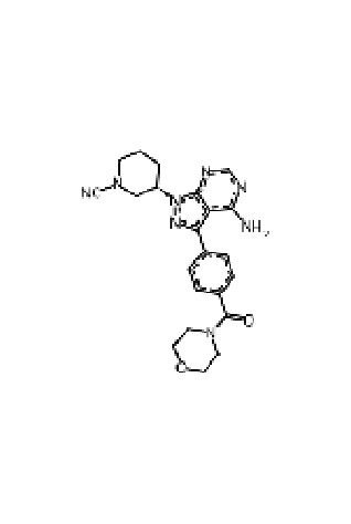 N#CN1CCC[C@@H](n2nc(-c3ccc(C(=O)N4CCOCC4)cc3)c3c(N)ncnc32)C1